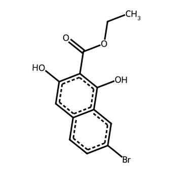 CCOC(=O)c1c(O)cc2ccc(Br)cc2c1O